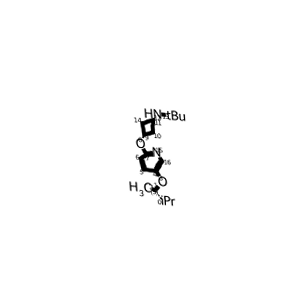 CC(C)[C@H](C)Oc1ccc(O[C@H]2C[C@@H](NC(C)(C)C)C2)nc1